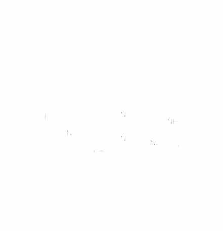 CCn1c(=O)[nH]c(=O)c2c1nc(-c1ccc(Cl)nc1C)n2Cc1ccccc1